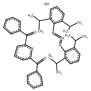 CC(C)c1cccc(C(C)C)c1[N]=[Fe]=[N]c1c(C(C)C)cccc1C(C)C.Cl.O=C(c1ccccc1)c1cccc(C(=O)c2ccccc2)n1